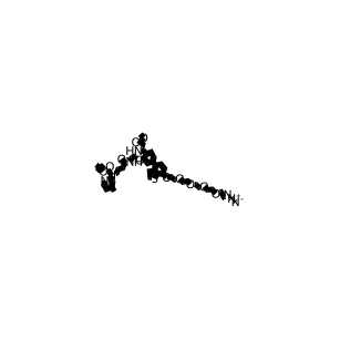 COC(=O)C[C@H](NC(=O)CNC(=O)CCCN(C(=O)OC(C)(C)C)c1cc(C)ccn1)c1ccc(-c2ccc(OCCOCCOCCOCCOCCN=[N+]=[N-])c3sccc23)cc1